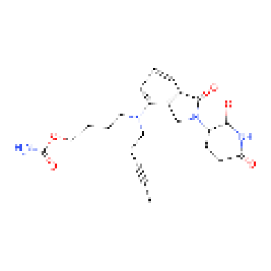 CC#CCCN(CCCCOC(N)=O)c1cccc2c1CN(C1CCC(=O)NC1=O)C2=O